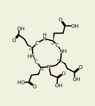 O=C(O)CC[C@H]1CN[C@@H](CCC(=O)O)CN(CC(=O)O)[C@@H](CCC(=O)O)CN[C@@H](CCC(=O)O)CN1